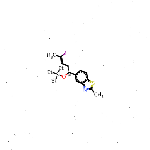 CC[Si](CC)(CC)O[C@@H](CC=C(C)I)c1ccc2sc(C)nc2c1